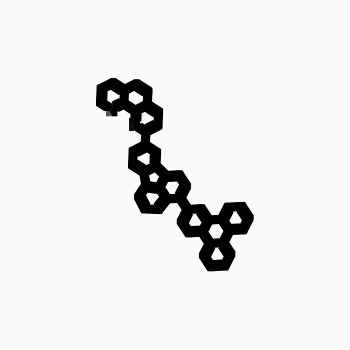 c1cnc2c(c1)ccc1ccc(-c3ccc4c(c3)-c3ccc(-c5ccc6c7ccccc7c7ccccc7c6c5)c5cccc-4c35)nc12